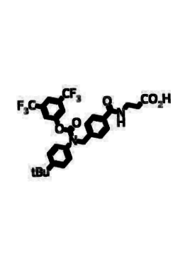 CC(C)(C)c1ccc(N(Cc2ccc(C(=O)NCCC(=O)O)cc2)C(=O)Oc2cc(C(F)(F)F)cc(C(F)(F)F)c2)cc1